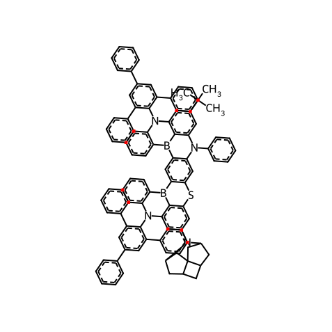 CC(C)(C)c1cc2c3c(c1)N(c1c(-c4ccccc4)cc(-c4ccccc4)cc1-c1ccccc1)c1ccccc1B3c1cc3c(cc1N2c1ccccc1)Sc1cc(N2C4CC5CC6CC2CC56C4)cc2c1B3c1ccccc1N2c1c(-c2ccccc2)cc(-c2ccccc2)cc1-c1ccccc1